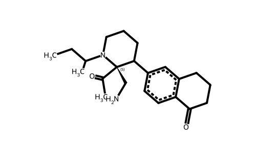 CCC(C)N1CCCC(c2ccc3c(c2)CCCC3=O)[C@]1(CN)C(C)=O